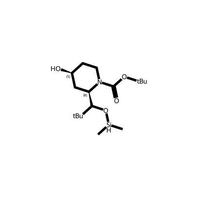 C[SiH](C)OC([C@H]1C[C@@H](O)CCN1C(=O)OC(C)(C)C)C(C)(C)C